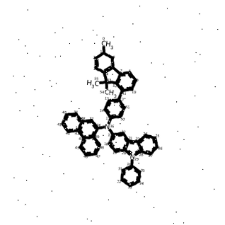 CC1C=CC2=C(C1)c1cccc(-c3ccc(N(c4ccc5c(c4)c4ccccc4n5-c4ccccc4)c4cc5ccccc5c5ccccc45)cc3)c1C2(C)C